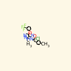 Cc1ccc(C[C@@H]2CON=C(c3c(Oc4cccc(C(F)(F)F)c4)cnnc3C)N2)c(Cl)c1